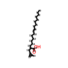 CCCCCCCCC=CCCCCCCC(CC1CC1)C(=O)O